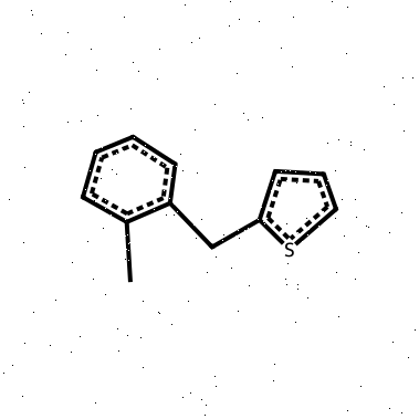 Cc1ccccc1Cc1cccs1